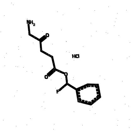 Cl.NCC(=O)CCC(=O)OC(F)c1ccccc1